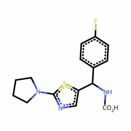 O=C(O)NC(c1ccc(F)cc1)c1cnc(N2CCCC2)s1